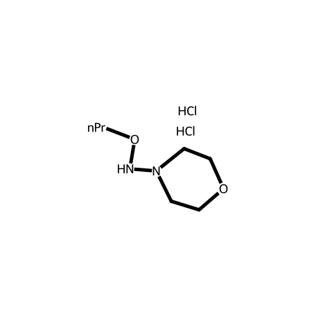 CCCONN1CCOCC1.Cl.Cl